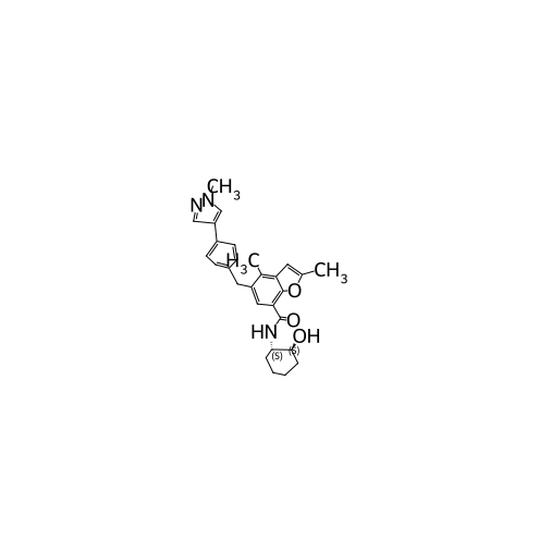 Cc1cc2c(C)c(Cc3ccc(-c4cnn(C)c4)cc3)cc(C(=O)N[C@H]3CCCC[C@@H]3O)c2o1